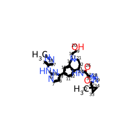 Cn1cc(Nc2nccc(-c3ccc4c(c3)CN(CCO)CC[C@H]4NC(=O)c3nnc(C4(C)CC4)o3)n2)cn1